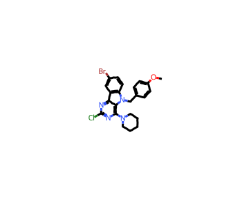 COc1ccc(Cn2c3ccc(Br)cc3c3nc(Cl)nc(N4CCCCC4)c32)cc1